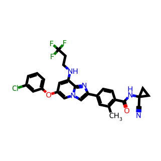 Cc1cc(-c2cn3cc(Oc4cccc(Cl)c4)cc(NCCC(F)(F)F)c3n2)ccc1C(=O)NC1(C#N)CC1